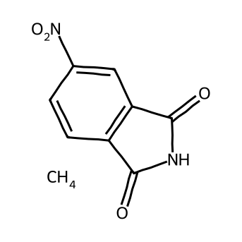 C.O=C1NC(=O)c2cc([N+](=O)[O-])ccc21